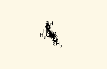 CC1=NN(c2cc(C)ccn2)C(=O)/C1=N/Nc1ccc(O)cc1